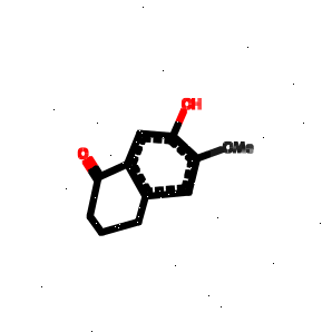 COc1cc2c(cc1O)C(=O)CCC2